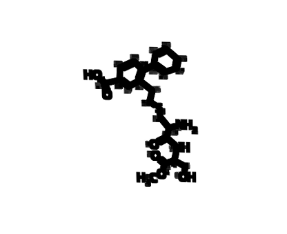 COC(=O)C(CO)NC(=O)C(N)CSCCc1cc(C(=O)O)ccc1-c1ccccc1